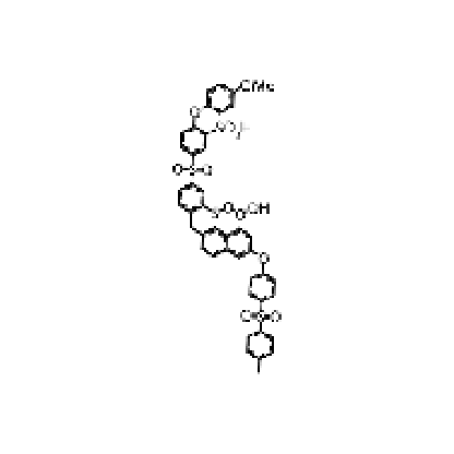 COc1ccc(Oc2ccc(S(=O)(=O)c3ccc(Cc4ccc5cc(Oc6ccc(S(=O)(=O)c7ccc(C)cc7)cc6)ccc5c4)c(SOOO)c3)cc2S(=O)(=O)O)cc1